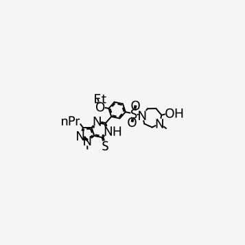 CCCc1nn(C)c2c(=S)[nH]c(-c3cc(S(=O)(=O)N4CCC(O)N(C)CC4)ccc3OCC)nc12